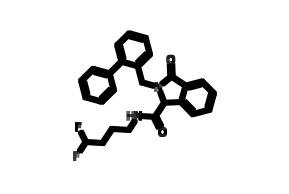 O=C(NCCCC(F)F)C1c2ccccc2C(=O)N1Cc1ccccc1-c1ccccc1